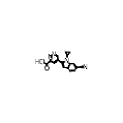 N#Cc1ccc2cc(-c3cnnc(C(=O)O)c3)n(C3CC3)c2c1